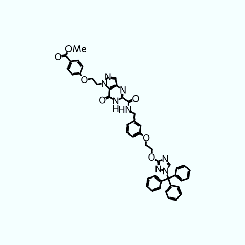 COC(=O)c1ccc(OCCn2ncc3nc(C(=O)NCc4cccc(OCCOc5ncn(C(c6ccccc6)(c6ccccc6)c6ccccc6)n5)c4)[nH]c(=O)c32)cc1